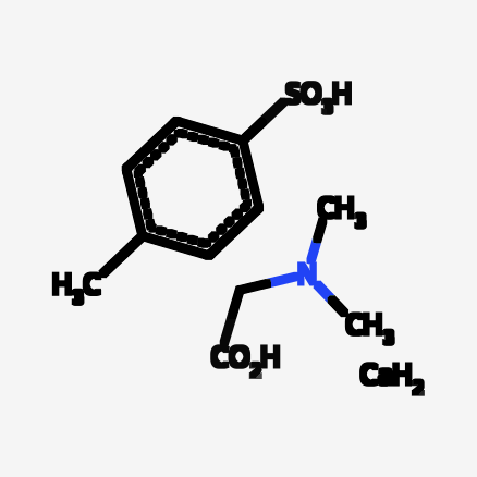 CN(C)CC(=O)O.Cc1ccc(S(=O)(=O)O)cc1.[CaH2]